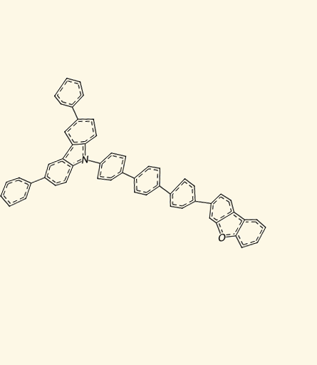 c1ccc(-c2ccc3c(c2)c2cc(-c4ccccc4)ccc2n3-c2ccc(-c3ccc(-c4ccc(-c5ccc6c(c5)oc5ccccc56)cc4)cc3)cc2)cc1